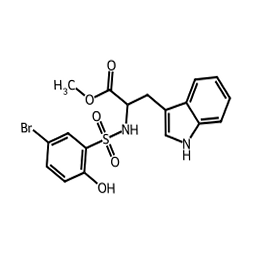 COC(=O)C(Cc1c[nH]c2ccccc12)NS(=O)(=O)c1cc(Br)ccc1O